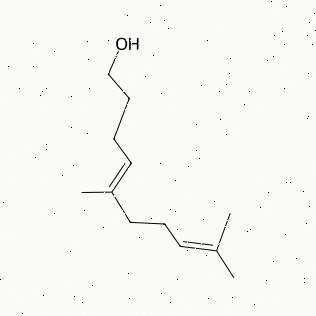 CC(C)=CCCC(C)=CCCCO